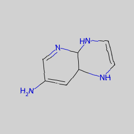 NC1=CC2NC=CNC2N=C1